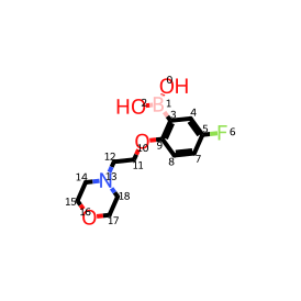 OB(O)c1cc(F)ccc1OCCN1CCOCC1